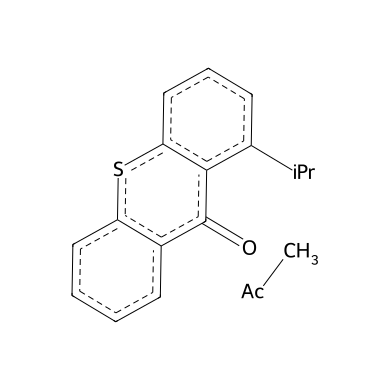 CC(C)=O.CC(C)c1cccc2sc3ccccc3c(=O)c12